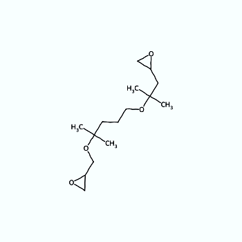 CC(C)(CCCOC(C)(C)CC1CO1)OCC1CO1